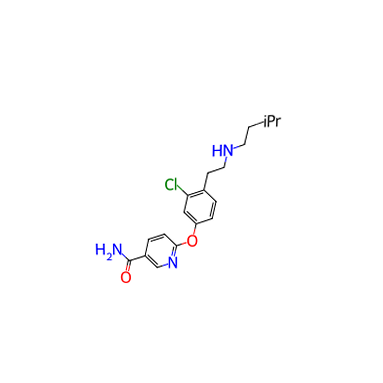 CC(C)CCNCCc1ccc(Oc2ccc(C(N)=O)cn2)cc1Cl